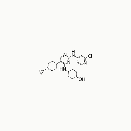 O[C@H]1CC[C@H](Nc2nc(Nc3ccnc(Cl)c3)ncc2C2CCN(C3CC3)CC2)CC1